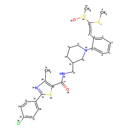 CS/C(=C\c1ccccc1N1CCCC(CNC(=O)c2sc(-c3ccc(Cl)cc3)nc2C)C1)[S+](C)[O-]